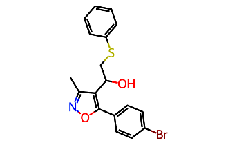 Cc1noc(-c2ccc(Br)cc2)c1C(O)CSc1ccccc1